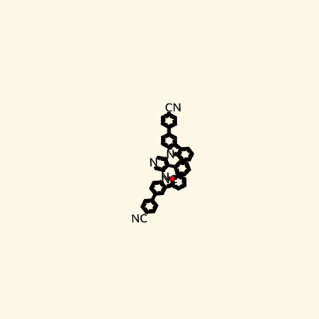 N#Cc1ccc(-c2ccc3c(c2)c2ccccc2n3-c2cncc(-n3c4ccccc4c4cc(-c5ccc(C#N)cc5)ccc43)c2-c2ccccc2C#N)cc1